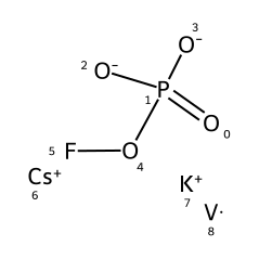 O=P([O-])([O-])OF.[Cs+].[K+].[V]